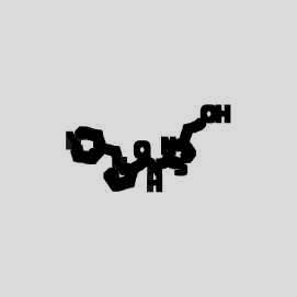 O=C(Nc1nc(CCO)cs1)c1cccn1Cc1ccncc1